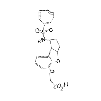 O=C(O)COc1cccc2c1OC1CCC(NS(=O)(=O)c3ccccc3)C21